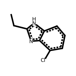 CCc1nc2c(Cl)cccc2[nH]1